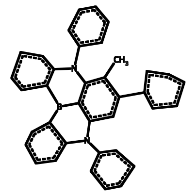 Cc1c(-c2ccccc2)cc2c3c1N(c1ccccc1)c1ccccc1B3c1ccccc1N2c1ccccc1